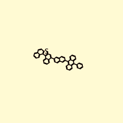 c1ccc(-c2c3ccccc3c(-c3ccc4cc(-c5cc6sc7ccc8ccccc8c7c6c6ccccc56)ccc4c3)c3ccccc23)cc1